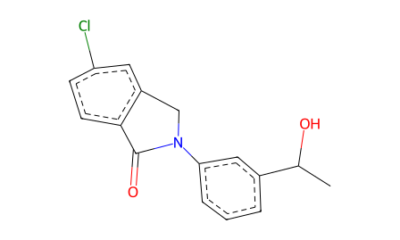 CC(O)c1cccc(N2Cc3cc(Cl)ccc3C2=O)c1